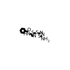 Nc1nnc(Sc2ncc(NC(=O)c3ccccc3)s2)s1